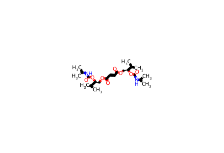 CC(C)NC(=O)O[C@@H](COC(=O)/C=C/C(=O)OC[C@H](OC(=O)NC(C)C)C(C)C)C(C)C